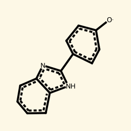 [O]c1ccc(-c2nc3ccccc3[nH]2)cc1